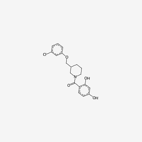 O=C(c1ccc(O)cc1O)N1CCCC(COc2cccc(Cl)c2)C1